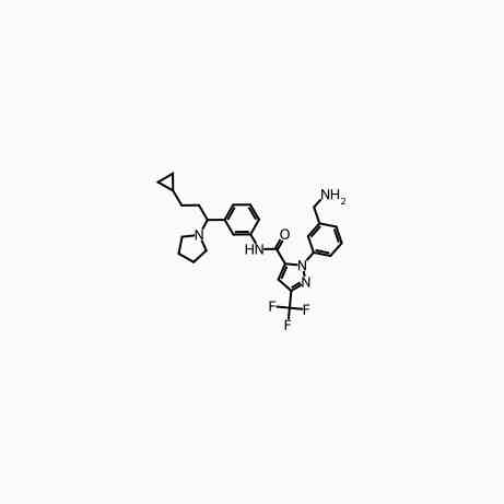 NCc1cccc(-n2nc(C(F)(F)F)cc2C(=O)Nc2cccc(C(CCC3CC3)N3CCCC3)c2)c1